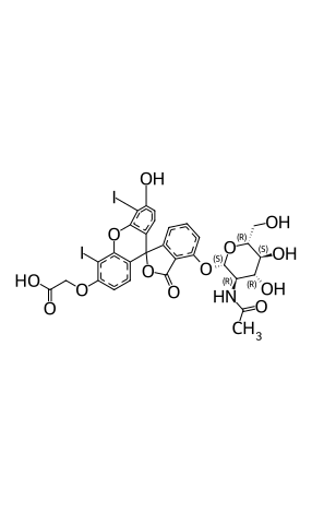 CC(=O)N[C@H]1[C@H](Oc2cccc3c2C(=O)OC32c3ccc(O)c(I)c3Oc3c2ccc(OCC(=O)O)c3I)O[C@H](CO)[C@@H](O)[C@@H]1O